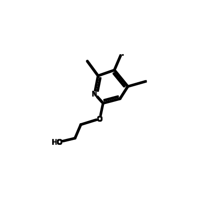 [CH2]c1c(C)cc(OCCO)nc1C